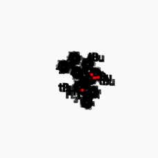 CC(C)(C)c1ccc(-c2cc(C(C)(C)C)ccc2N2c3cc(N(c4ccccc4)c4ccccc4)ccc3B3c4cc(C(C)(C)C)ccc4N(c4cccc5c4C(C)(C)c4ccccc4-5)c4cc(C(C)(C)C)cc2c43)cc1